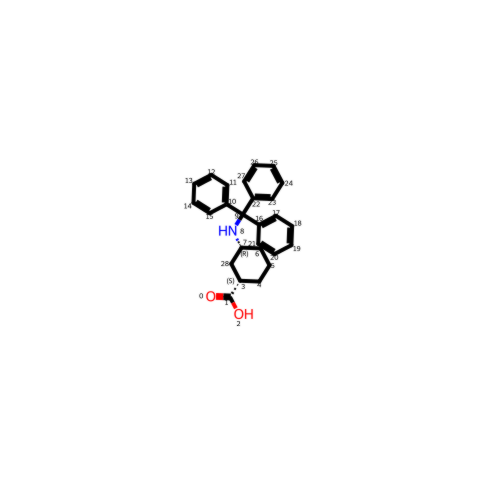 O=C(O)[C@H]1CCC[C@@H](NC(c2ccccc2)(c2ccccc2)c2ccccc2)C1